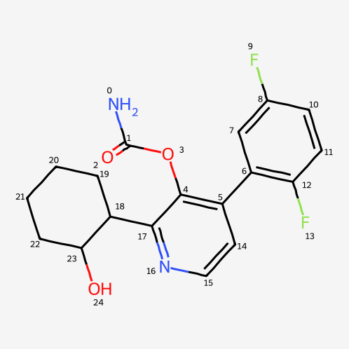 NC(=O)Oc1c(-c2cc(F)ccc2F)ccnc1C1CCCCC1O